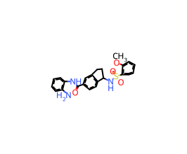 COc1ccccc1S(=O)(=O)NC1CCc2cc(C(=O)Nc3ccccc3N)ccc21